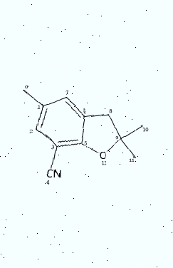 Cc1cc(C#N)c2c(c1)CC(C)(C)O2